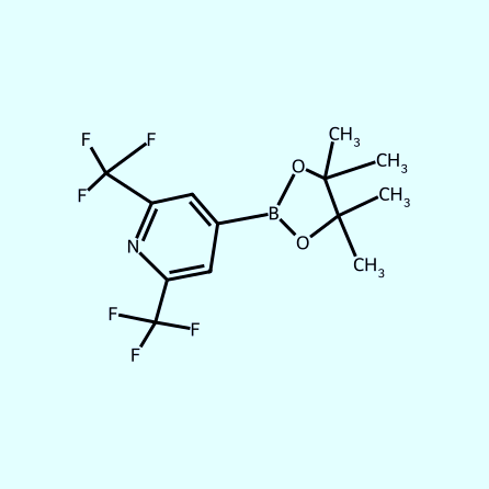 CC1(C)OB(c2cc(C(F)(F)F)nc(C(F)(F)F)c2)OC1(C)C